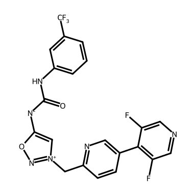 O=C([N-]c1c[n+](Cc2ccc(-c3c(F)cncc3F)cn2)no1)Nc1cccc(C(F)(F)F)c1